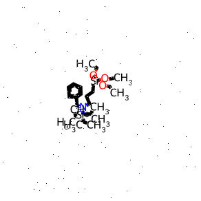 CCO[Si](CCCCN(Cc1ccccc1)[Si](C(C)C)(C(C)C)C(C)C)(OCC)OCC